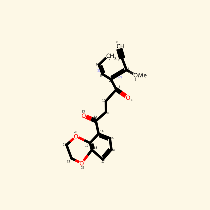 C#C/C(OC)=C(\C=C/C)C(=O)CCC(=O)c1cccc2c1OCCO2